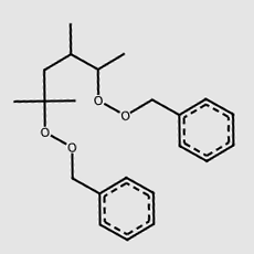 CC(CC(C)(C)OOCc1ccccc1)C(C)OOCc1ccccc1